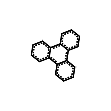 [c]1cccc2c1c1ccccc1c1[c]cccc12